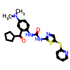 CN(C)c1ccc(NC(=O)Nc2ncc(Sc3ccccn3)s2)c(C(=O)C2CCCC2)c1